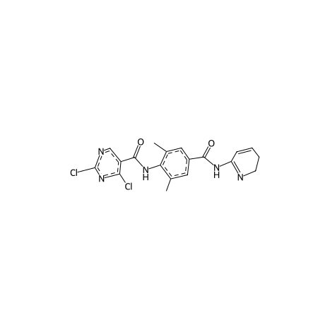 Cc1cc(C(=O)NC2=NCCC=C2)cc(C)c1NC(=O)c1cnc(Cl)nc1Cl